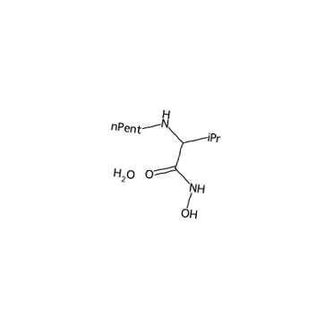 CCCCCNC(C(=O)NO)C(C)C.O